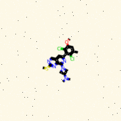 COc1cc(C)c(Cl)c(-c2cc3cnc(SC)nc3c(N3CC(N(C)C)C3)n2)c1Cl